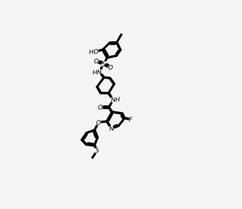 CSc1cccc(Oc2ncc(F)cc2C(=O)NC2CCC(NS(=O)(=O)c3ccc(C)cc3O)CC2)c1